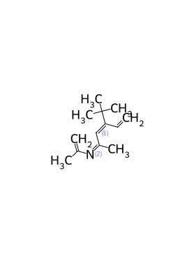 C=C/C(=C\C(C)=N/C(=C)C)C(C)(C)C